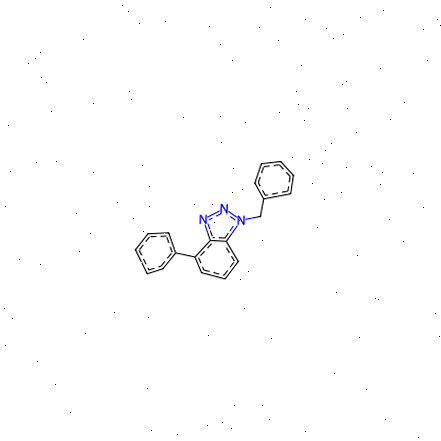 c1ccc(Cn2nnc3c(-c4ccccc4)cccc32)cc1